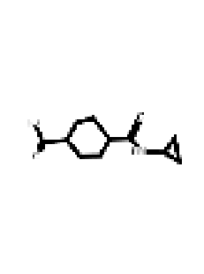 O=C(O)C1CCC(C(=O)NC2CC2)CC1